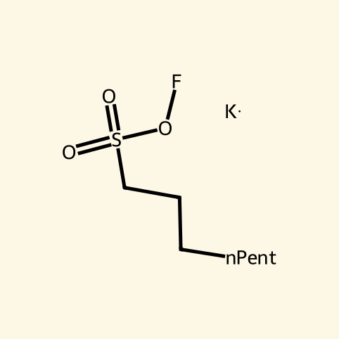 CCCCCCCCS(=O)(=O)OF.[K]